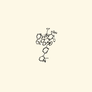 CCCCc1nc(=O)c(S(=O)(=O)c2ccc(-c3cccnc3C)cc2)c(O)n1[C@H](c1cccc(C#N)c1)C1CC1